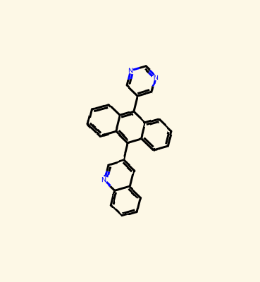 c1ccc2ncc(-c3c4ccccc4c(-c4cncnc4)c4ccccc34)cc2c1